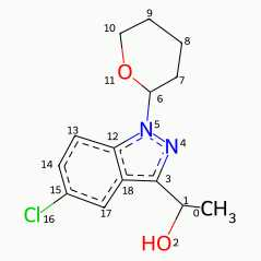 CC(O)c1nn(C2CCCCO2)c2ccc(Cl)cc12